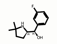 CC1(C)CC[C@H]([C@H](O)c2cccc(F)c2)N1